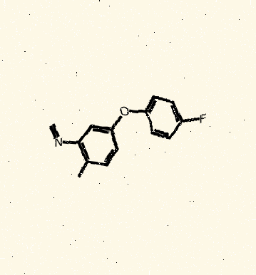 C=Nc1cc(Oc2ccc(F)cc2)ccc1C